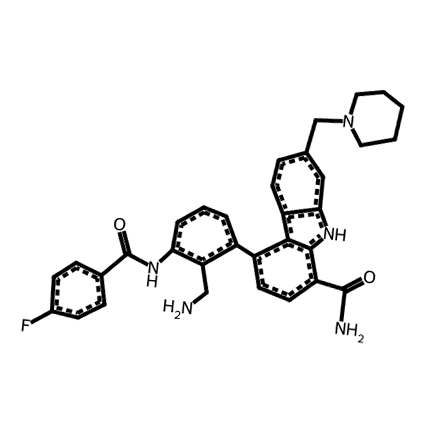 NCc1c(NC(=O)c2ccc(F)cc2)cccc1-c1ccc(C(N)=O)c2[nH]c3cc(CN4CCCCC4)ccc3c12